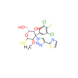 CO[C@H]1[C@@H](S)O[C@H](CO)[C@H](O)C1(c1cc(Cl)c(F)c(Cl)c1)n1cc(-c2nccs2)nn1